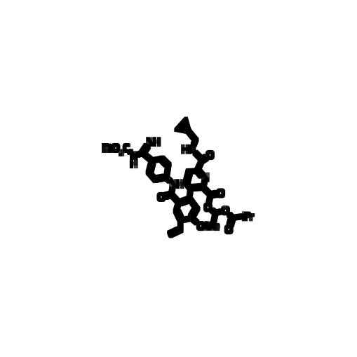 C=Cc1cc(C(=O)Nc2ccc(C(=N)NC(=O)OCC)cc2)c(-c2ccc(C(=O)NCC3CC3)nc2C(=O)OC(C)OC(=O)C(C)C)cc1OC